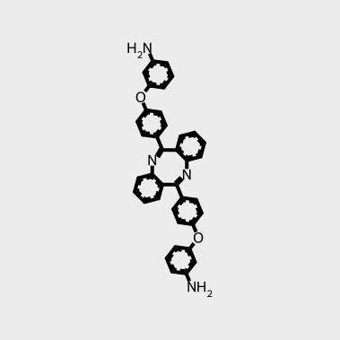 Nc1cccc(Oc2ccc(C3=Nc4ccccc4C(c4ccc(Oc5cccc(N)c5)cc4)=Nc4ccccc43)cc2)c1